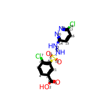 O=C(O)c1ccc(Cl)c(S(=O)(=O)NNc2ccc(Cl)nn2)c1